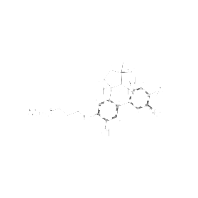 COCCCOc1cc2c(cc1Cl)-c1cc(=O)c(C(C)=O)cn1[C@H]1[C@@H]2CCC1(C)C